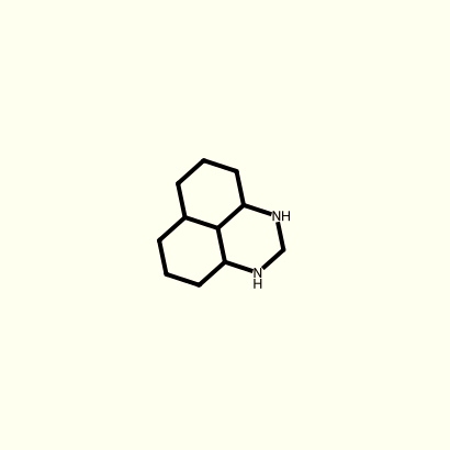 C1CC2CCCC3NCNC(C1)C23